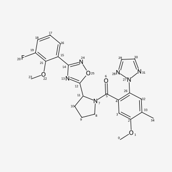 COc1cc(C(=O)N2CCCC2c2nc(-c3cccc(F)c3OC)no2)c(-n2nccn2)cc1C